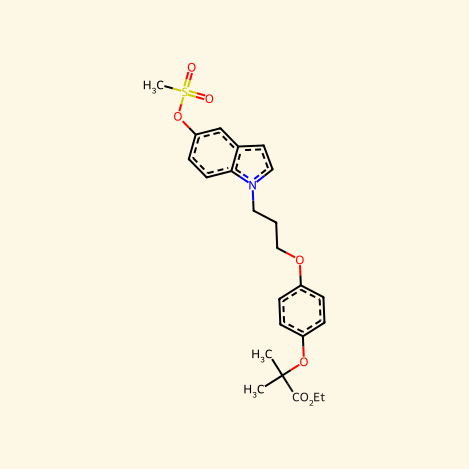 CCOC(=O)C(C)(C)Oc1ccc(OCCCn2ccc3cc(OS(C)(=O)=O)ccc32)cc1